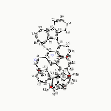 C#C/C=C\C(=C(/C)c1ccccc1-n1c2c(c3ccccc31)C=CCC2)N(c1cccc2c1-c1ccccc1C2(C)C)c1cccc2c1-c1ccccc1C2(C)C